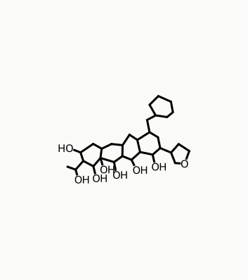 CC(O)C1C(O)CC2CC3CC4C(CC5CCCCC5)CC(C5CCOC5)C(O)C4C(O)C3C(O)C2(O)C1O